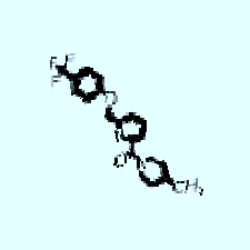 CC1CCN(C(=O)c2cccc(COc3ccc(C(F)(F)F)cc3)n2)CC1